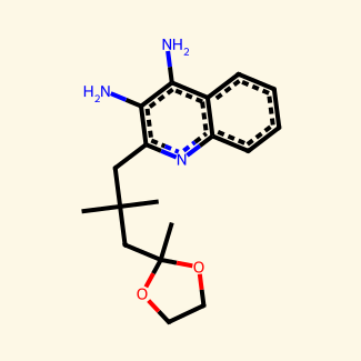 CC(C)(Cc1nc2ccccc2c(N)c1N)CC1(C)OCCO1